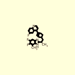 Cc1c(F)c(F)cc2nc([C@H](C)CC3CC4CC3CC4c3ccnc4ccc(F)cc34)[nH]c12